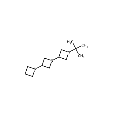 CC(C)(C)N1CC(N2CC(N3CCC3)C2)C1